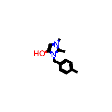 Cc1ccc(CN2C(O)=CN(C)C2C)cc1